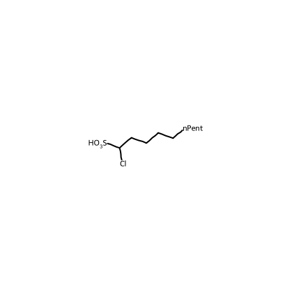 CCCCCCCCCC(Cl)S(=O)(=O)O